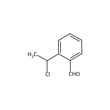 CC(Cl)c1ccccc1C=O